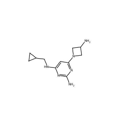 Nc1nc(NCC2CC2)cc(N2CC(N)C2)n1